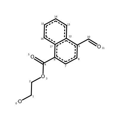 [O]CCOC(=O)c1ccc([C]=O)c2ccccc12